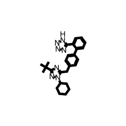 CC(C)(C)c1nc(Cc2ccc(-c3ccccc3-c3nnn[nH]3)cc2)n(C2CCCCC2)n1